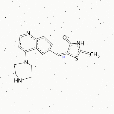 C=c1[nH]c(=O)/c(=C\c2ccc3nccc(N4CCNCC4)c3c2)s1